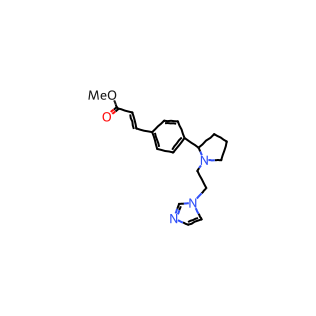 COC(=O)C=Cc1ccc(C2CCCN2CCn2ccnc2)cc1